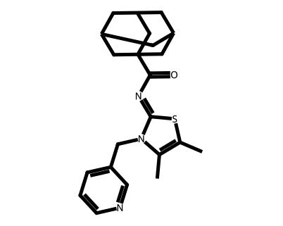 Cc1sc(=NC(=O)C23CC4CC(CC(C4)C2)C3)n(Cc2cccnc2)c1C